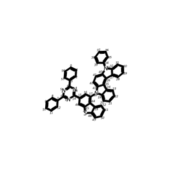 c1ccc(-c2nc(-c3ccccc3)nc(-c3cc(-n4c5ccccc5c5c6c7ccccc7n(-c7ccccc7)c6ccc54)c4c(c3)sc3ccccc34)n2)cc1